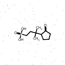 CC(C)(CCP(=O)(O)O)C1CCCC1=O